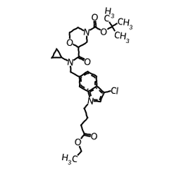 CCOC(=O)CCCn1cc(Cl)c2ccc(CN(C(=O)C3CN(C(=O)OC(C)(C)C)CCO3)C3CC3)cc21